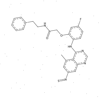 Cc1cc(N=S)cc2ncnc(Nc3ccc(F)cc3OCC(=O)NCCc3ccccc3)c12